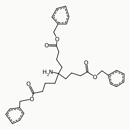 NC(CCCC(=O)OCc1ccccc1)(CCCC(=O)OCc1ccccc1)CCCC(=O)OCc1ccccc1